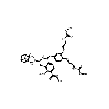 COc1c(C[C@H](NC(=O)Cc2ccc(OCCNC(=O)OC(C)(C)C)c(OCCNC(=O)OC(C)(C)C)c2)B2OC3CC4CC(C4(C)C)C3(C)O2)cccc1C(=O)OC(C)(C)C